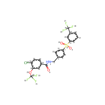 O=C(NCc1ccc(S(=O)(=O)c2cccc(C(F)(F)F)c2)cc1)c1ccc(Cl)c(OC(F)(F)F)c1